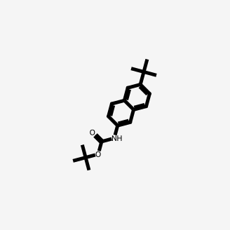 CC(C)(C)OC(=O)Nc1ccc2cc(C(C)(C)C)ccc2c1